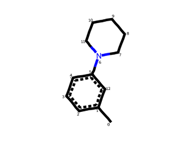 Cc1cc[c]c(N2CCCCC2)c1